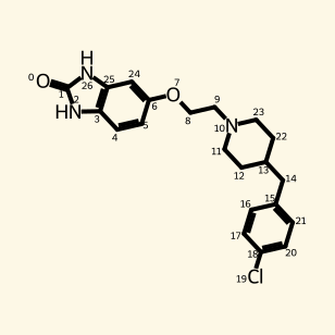 O=c1[nH]c2ccc(OCCN3CCC(Cc4ccc(Cl)cc4)CC3)cc2[nH]1